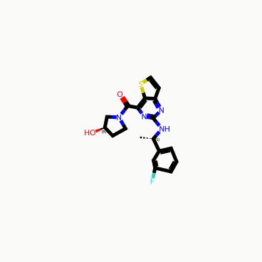 C[C@H](Nc1nc(C(=O)N2CC[C@@H](O)C2)c2sccc2n1)c1cccc(F)c1